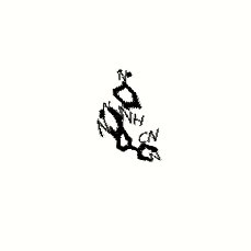 CN(C)C1CCC(Nc2ncnc3ccc(-c4ccncc4C#N)cc23)CC1